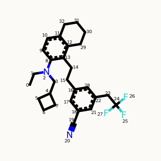 CCN(CC1CCC1)c1ccc2c(c1CCc1cc(C#N)cc(CC(F)(F)F)c1)CCCC2